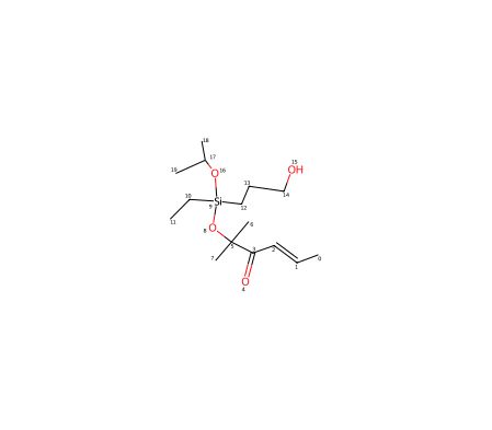 CC=CC(=O)C(C)(C)O[Si](CC)(CCCO)OC(C)C